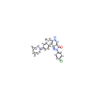 Cc1[nH]cc2c(=O)n(-c3ccc(Cl)cc3)nc-2c1-c1ccc(N(CC2CC2)CC2CC2)cc1